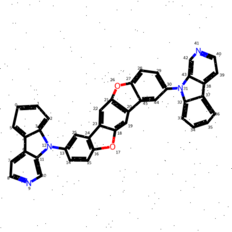 c1ccc2c(c1)c1ccncc1n2-c1ccc2oc3cc4c(cc3c2c1)oc1ccc(-n2c3ccccc3c3ccncc32)cc14